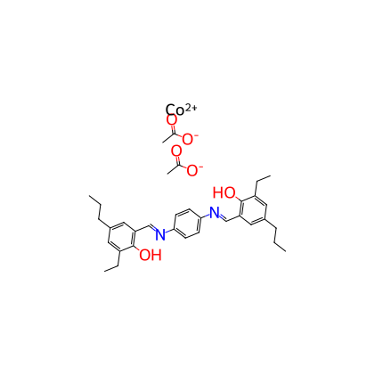 CC(=O)[O-].CC(=O)[O-].CCCc1cc(C=Nc2ccc(N=Cc3cc(CCC)cc(CC)c3O)cc2)c(O)c(CC)c1.[Co+2]